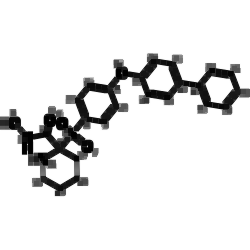 O=C(NO)C1(S(=O)(=O)c2ccc(Oc3ccc(-c4ccccc4)cc3)cc2)CCCCN1